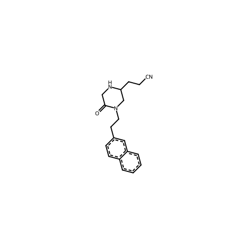 N#CCCC1CN(CCc2ccc3ccccc3c2)C(=O)CN1